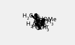 C=CCCCCC[C@H](Nc1nc2ccccc2o1)C(=O)N1C[C@H](Oc2cc(-c3nc(C(C)C)cs3)nc3c(C)c(OC)ccc23)C[C@H]1C(=O)N[C@]1(C(=O)NS(=O)(=O)C2(C)CC2)C[C@H]1C=C